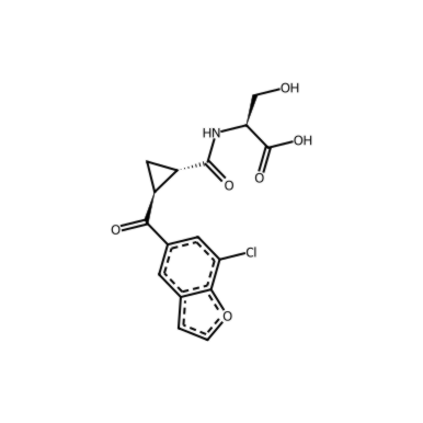 O=C(O)[C@H](CO)NC(=O)[C@H]1C[C@@H]1C(=O)c1cc(Cl)c2occc2c1